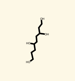 OCCCC(O)CCC(O)CCO